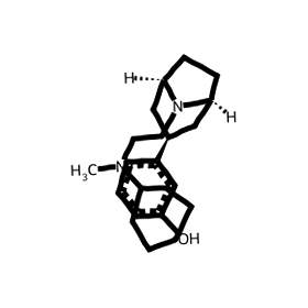 CN(CCN1[C@@H]2CC[C@H]1C[C@@H](c1cccc(O)c1)C2)C1CCCCC1